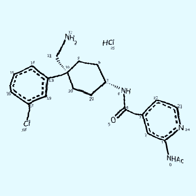 CC(=O)Nc1cc(C(=O)N[C@H]2CC[C@](CN)(c3cccc(Cl)c3)CC2)ccn1.Cl